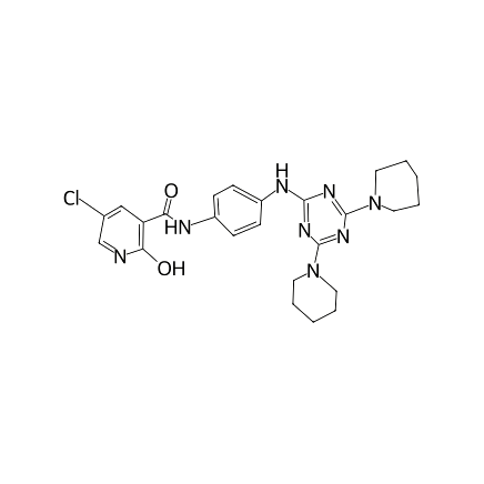 O=C(Nc1ccc(Nc2nc(N3CCCCC3)nc(N3CCCCC3)n2)cc1)c1cc(Cl)cnc1O